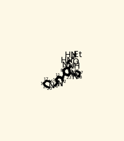 CCNC(=O)Nc1nc2cc(-c3ccc(CN4CCCCC4)nc3)cc(N3CCC=N3)c2[nH]1